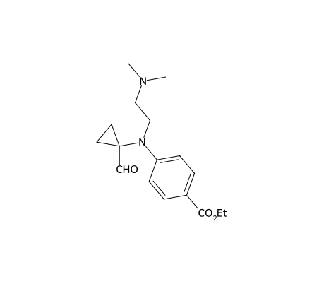 CCOC(=O)c1ccc(N(CCN(C)C)C2(C=O)CC2)cc1